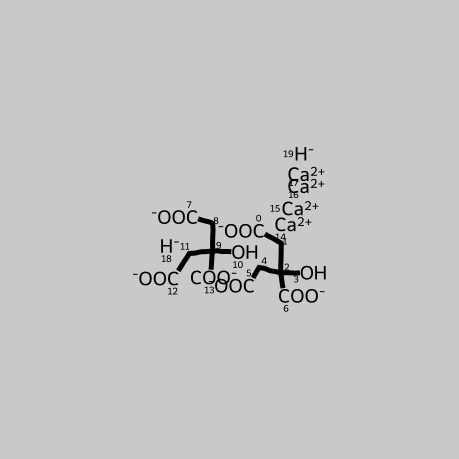 O=C([O-])CC(O)(CC(=O)[O-])C(=O)[O-].O=C([O-])CC(O)(CC(=O)[O-])C(=O)[O-].[Ca+2].[Ca+2].[Ca+2].[Ca+2].[H-].[H-]